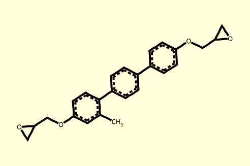 Cc1cc(OCC2CO2)ccc1-c1ccc(-c2ccc(OCC3CO3)cc2)cc1